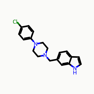 Clc1ccc(N2CCN(Cc3ccc4cc[nH]c4c3)CC2)cc1